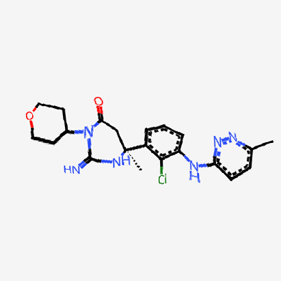 Cc1ccc(Nc2cccc([C@]3(C)CC(=O)N(C4CCOCC4)C(=N)N3)c2Cl)nn1